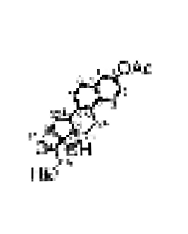 CC(=O)Oc1ccc2c3c(ccc2c1)C1=C[C@@H](C)[C@](O)(C(=O)CO)[C@@]1(C)CC3